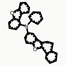 c1ccc(N(c2ccc3oc4c5ccccc5ccc4c3c2)c2cccc3oc4ccccc4c23)cc1